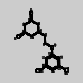 O=C1CC(=O)CC(CCOc2cc(Cl)cc(Cl)c2)C1